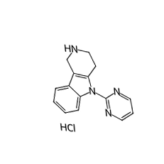 Cl.c1cnc(-n2c3c(c4ccccc42)CNCC3)nc1